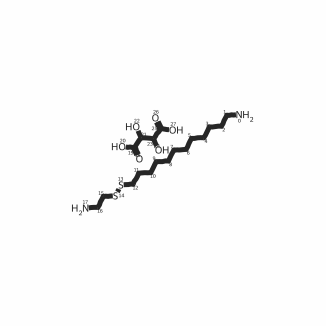 NCCCCCCCCCCCCSSCCN.O=C(O)C(O)C(O)C(=O)O